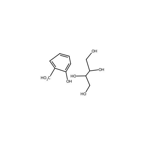 O=C(O)c1ccccc1O.OCC(O)C(O)CO